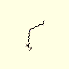 CC/C=C\C=C\CC/C=C\CCCCCCCC(=O)O